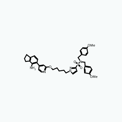 COc1ccc(CN(Cc2ccc(OC)cc2)S(=O)(=O)c2ccn(CCCCCOc3cc(-c4ccc5c(c4N)CCC5)ccn3)n2)cc1